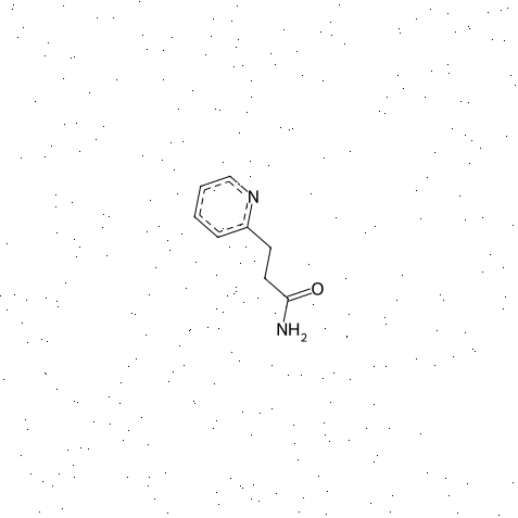 NC(=O)CCc1ccccn1